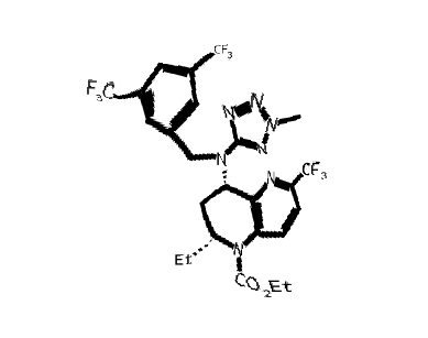 CCOC(=O)N1c2ccc(C(F)(F)F)nc2[C@@H](N(Cc2cc(C(F)(F)F)cc(C(F)(F)F)c2)c2nnn(C)n2)C[C@H]1CC